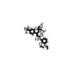 CCN1CCOc2c(NC(=O)C=C3CC(COC)(COC)Oc4cc(C(F)(F)F)ccc43)cccc21